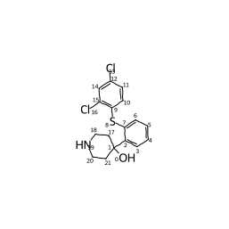 OC1(c2ccccc2Sc2ccc(Cl)cc2Cl)CCNCC1